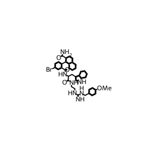 COc1ccc(CNC(=N)NCCNC(=O)C(Cc2c[nH]c3ccccc23)NC(=O)c2cc(Br)ccc2-c2c(C(N)=O)ccc3ccccc23)cc1